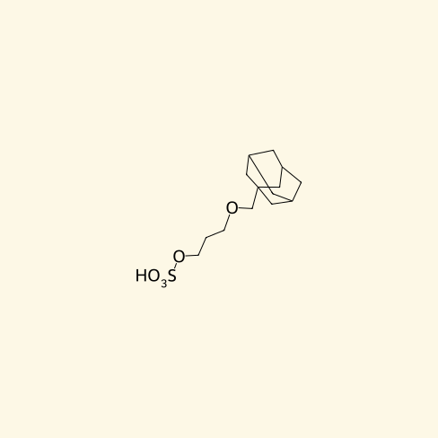 O=S(=O)(O)OCCCOCC12CC3CC(CC(C3)C1)C2